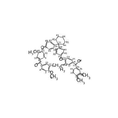 COc1ccc(C(=O)c2ccc(Oc3ccc(C4(c5ccc(Oc6ccc(C(=O)c7ccc(C)c(C)c7)cc6C)cc5)CCCCC4)cc3)c(C)c2)cc1C